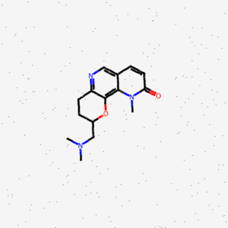 CN(C)CC1CCc2ncc3ccc(=O)n(C)c3c2O1